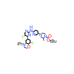 CC1CN(c2ccc(Nc3ncc(F)c(-c4cc(F)c5c(c4)N(C(C)C)CCO5)n3)nc2)CCN1C(=O)OC(C)(C)C